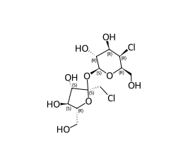 OC[C@H]1O[C@](CCl)(O[C@@H]2O[C@H](CO)[C@H](Cl)[C@H](O)[C@H]2O)[C@@H](O)[C@@H]1O